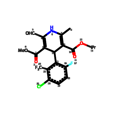 COC(=O)C1=C(C=O)NC(C)=C(C(=O)OC(C)C)C1c1c(F)ccc(Cl)c1C(F)(F)F